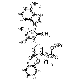 C=C1[C@@H](n2cnc3c(N)ncnc32)[C@@H](F)[C@H](O)[C@H]1CO[P@](=O)(N[C@@H](C)C(=O)OC(C)C)Oc1ccccc1